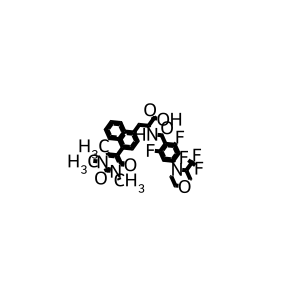 Cc1c(-c2ccc(CC(NC(=O)c3c(F)cc(N4CCOCC4C(F)(F)F)cc3F)C(=O)O)c3ccccc23)c(=O)n(C)c(=O)n1C